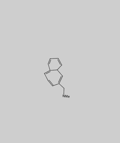 CNCC1=CC2C=CC=CC2=CC=C1